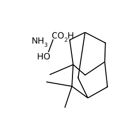 CC12CC3CC(CC(C3)C1(C)C)C2.N.O=C(O)O